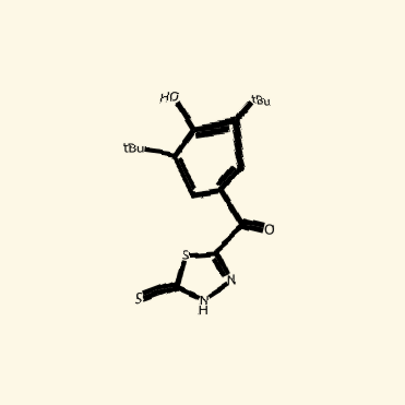 CC(C)(C)c1cc(C(=O)c2n[nH]c(=S)s2)cc(C(C)(C)C)c1O